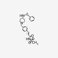 CS(=O)(=O)NC(=O)/C=C/c1ccc(CN2CCC(NC3CC3c3ccccc3)CC2)cc1